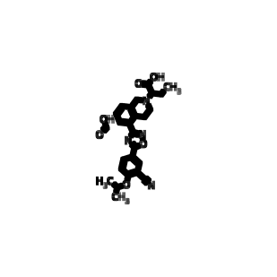 CCC(C(=O)O)N1CCc2c(cccc2-c2noc(-c3ccc(OC(C)C)c(C#N)c3)n2)C1.O=CO